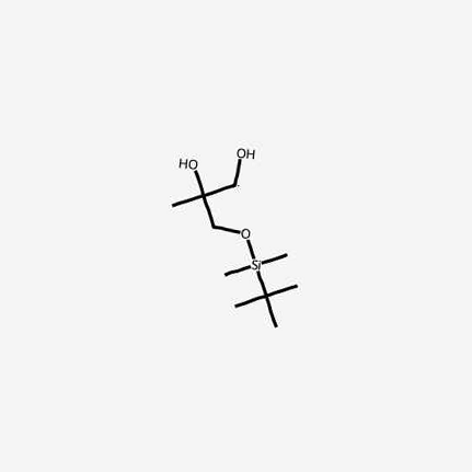 CC(O)([CH]O)CO[Si](C)(C)C(C)(C)C